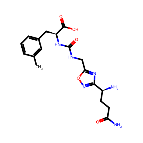 Cc1cccc(C[C@H](NC(=O)NCc2nc([C@@H](N)CCC(N)=O)no2)C(=O)O)c1